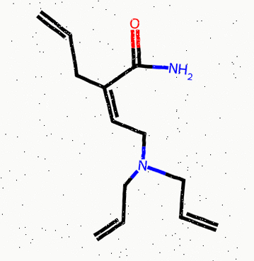 C=CCC(=CCN(CC=C)CC=C)C(N)=O